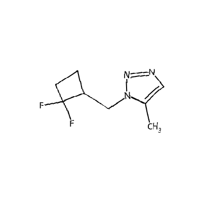 Cc1cnnn1CC1CCC1(F)F